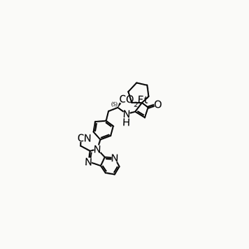 CCOC(=O)[C@H](Cc1ccc(-n2c(CC#N)nc3cccnc32)cc1)NC1=CC(=O)C12CCCCC2